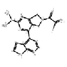 C=C(F)C(=O)N1Cc2nc(N(C)C)nc(-c3ccnc4[nH]ccc34)c2C1